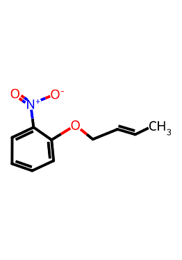 C/C=C/COc1ccccc1[N+](=O)[O-]